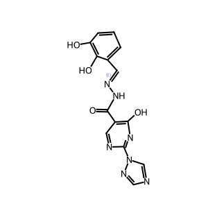 O=C(N/N=C/c1cccc(O)c1O)c1cnc(-n2cncn2)nc1O